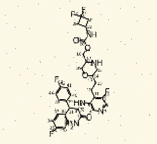 NC(=O)[C@@H](Nc1cncc(F)c1CC[C@@H]1CN[C@H](COC(=O)NC2CC(F)(F)C2)CO1)C(c1ccc(F)cc1)c1ccc(F)cc1